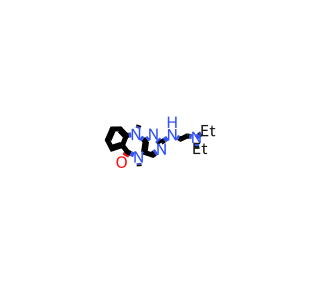 CCN(CC)CCNc1ncc2c(n1)N(C)c1ccccc1C(=O)N2C